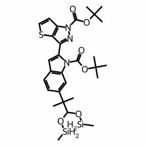 C[SiH2]OC(O[SiH2]C)C(C)(C)c1ccc2cc(-c3nn(C(=O)OC(C)(C)C)c4ccsc34)n(C(=O)OC(C)(C)C)c2c1